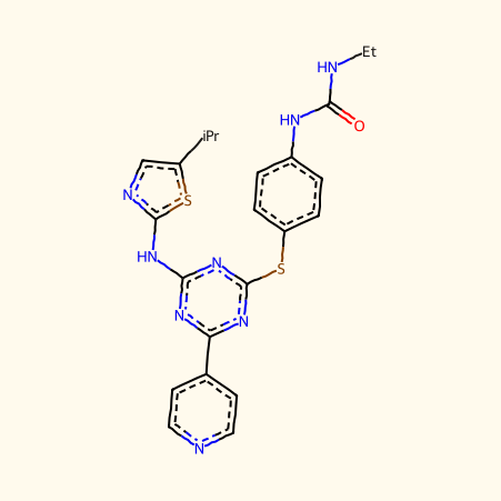 CCNC(=O)Nc1ccc(Sc2nc(Nc3ncc(C(C)C)s3)nc(-c3ccncc3)n2)cc1